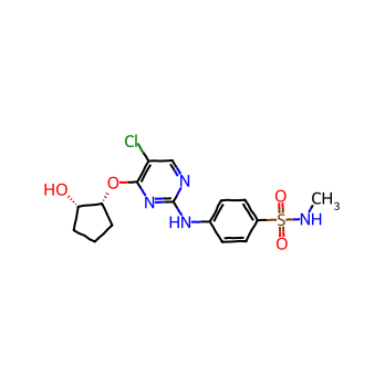 CNS(=O)(=O)c1ccc(Nc2ncc(Cl)c(O[C@@H]3CCC[C@@H]3O)n2)cc1